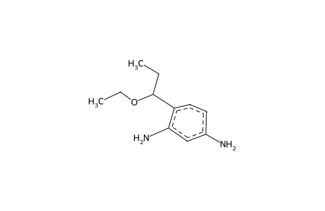 CCOC(CC)c1ccc(N)cc1N